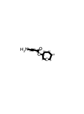 NC#CC(=O)OC1CCCCCC1